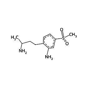 CC(N)CCc1ccc(S(C)(=O)=O)cc1N